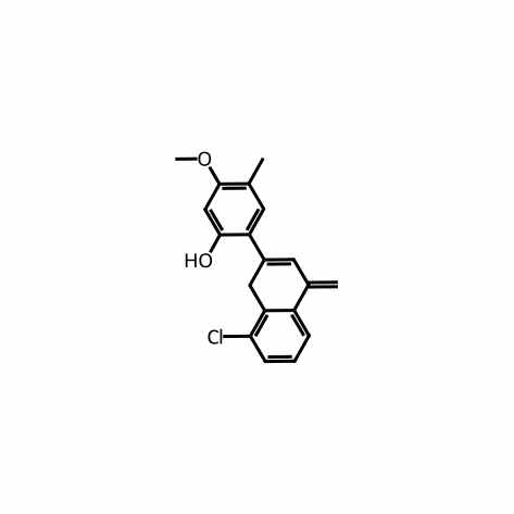 C=C1C=C(c2cc(C)c(OC)cc2O)Cc2c(Cl)cccc21